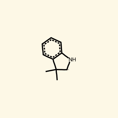 CC1(C)[CH]Nc2ccccc21